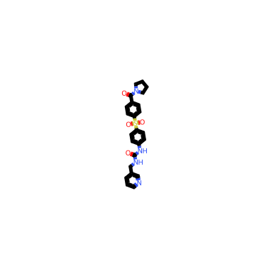 O=C(NCc1cccnc1)Nc1ccc(S(=O)(=O)c2ccc(C(=O)N3CCCC3)cc2)cc1